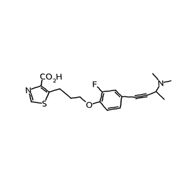 CC(C#Cc1ccc(OCCCc2scnc2C(=O)O)c(F)c1)N(C)C